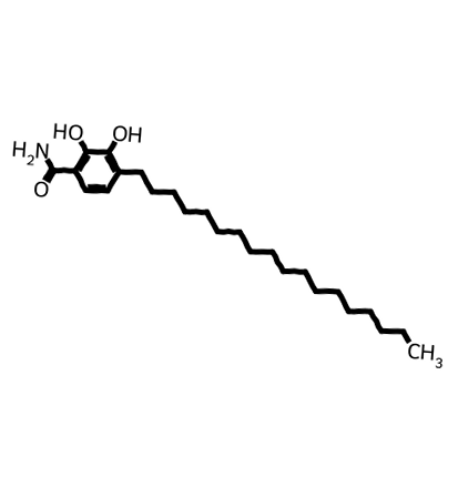 CCCCCCCCCCCCCCCCCCc1ccc(C(N)=O)c(O)c1O